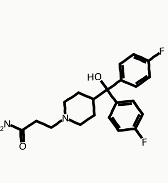 NC(=O)CCN1CCC(C(O)(c2ccc(F)cc2)c2ccc(F)cc2)CC1